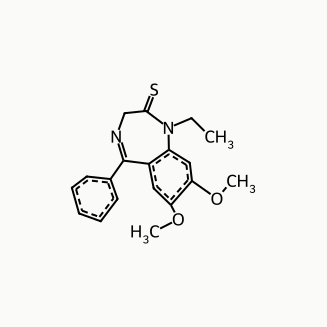 CCN1C(=S)CN=C(c2ccccc2)c2cc(OC)c(OC)cc21